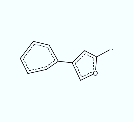 [CH2]c1cc(-c2ccccc2)co1